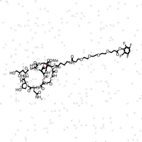 CC[C@H](C)[C@@H]1NC(=O)CNC(=O)[C@@H]2Cc3c([nH]c4c(CSCCCCNC(=O)CCOCCOCCOCCOCCC(=O)Oc5c(F)c(F)cc(F)c5F)c(OC)ccc34)[S+]([O-])CC(NC(=O)CNC1=O)C(=O)N[C@@H](CC(N)=O)C(=O)N1C[C@H](O)C[C@H]1C(=O)N[C@@H]([C@@H](C)[C@@H](O)CO)C(=O)N2